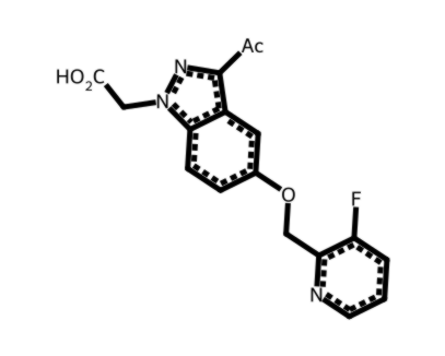 CC(=O)c1nn(CC(=O)O)c2ccc(OCc3ncccc3F)cc12